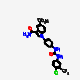 NC(=O)c1cn(-c2ccc(NC(=O)Nc3ccc(Cl)c(C(F)(F)F)c3)cc2)c2ccc(C(=O)O)cc12